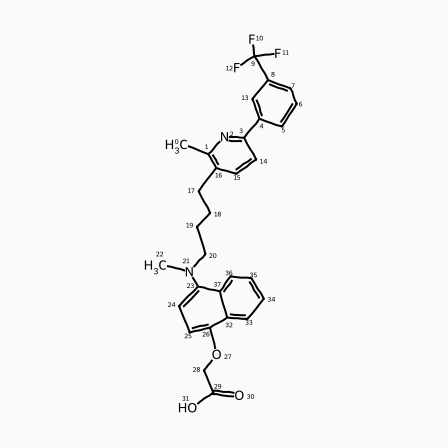 Cc1nc(-c2cccc(C(F)(F)F)c2)ccc1CCCCN(C)c1ccc(OCC(=O)O)c2ccccc12